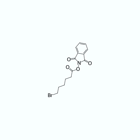 O=C(CCCCCBr)ON1C(=O)c2ccccc2C1=O